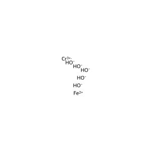 [Cr+3].[Fe+2].[OH-].[OH-].[OH-].[OH-].[OH-]